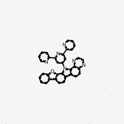 c1ccc(-c2cc(-n3c4c(ccc5nccnc54)c4ccc5c6ccccc6oc5c43)cc(-c3ccccn3)n2)nc1